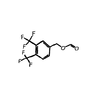 O=COCc1ccc(C(F)(F)F)c(C(F)(F)F)c1